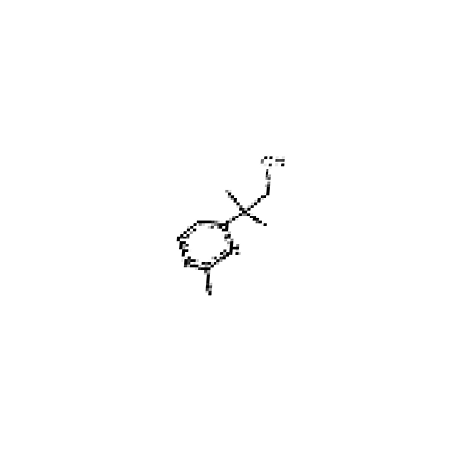 Cc1cccc(C(C)(C)CO)n1